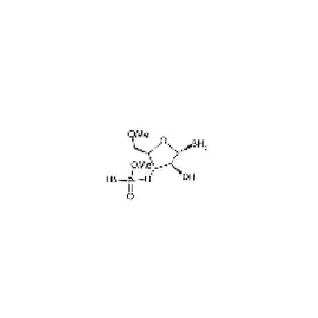 B[C@@H]1O[C@H](COC)C(OP(=O)(S)OC)[C@@H]1O